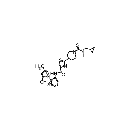 Cc1cc(C)n(-c2ncccc2NC(=O)c2csc(C3CCN(C(=S)NCC4CC4)CC3)n2)n1